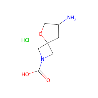 Cl.NC1COC2(C1)CN(C(=O)O)C2